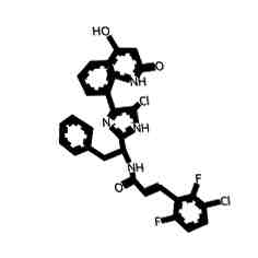 O=C(/C=C/c1c(F)ccc(Cl)c1F)NC(Cc1ccccc1)c1nc(-c2cccc3c(O)cc(=O)[nH]c23)c(Cl)[nH]1